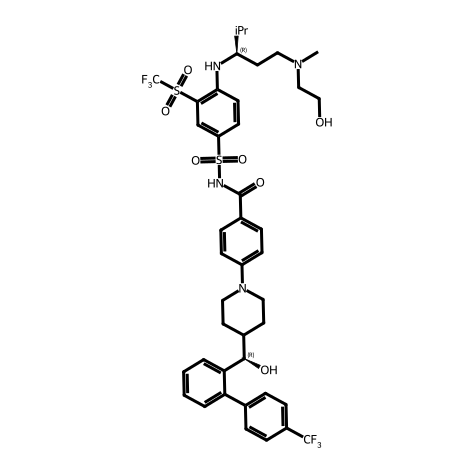 CC(C)[C@@H](CCN(C)CCO)Nc1ccc(S(=O)(=O)NC(=O)c2ccc(N3CCC([C@@H](O)c4ccccc4-c4ccc(C(F)(F)F)cc4)CC3)cc2)cc1S(=O)(=O)C(F)(F)F